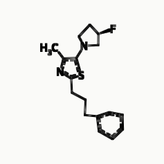 Cc1nc(CCCc2ccccc2)sc1N1CC[C@@H](F)C1